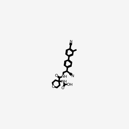 Cc1cc(-c2ccc(C(C#N)CNC(=O)C3(NC(=O)O)CCOCC3)cc2)ccc1C#N